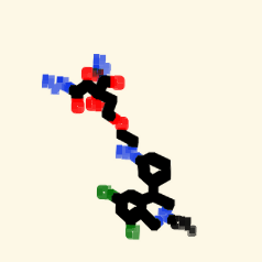 CN1Cc2c(Cl)cc(Cl)cc2C(c2cccc(NCCOCCC(O)(C(N)=O)C(O)C(N)=O)c2)C1